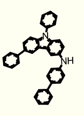 c1ccc(-c2ccc(Nc3ccc4c(c3)c3cc(-c5ccccc5)ccc3n4-c3ccccc3)cc2)cc1